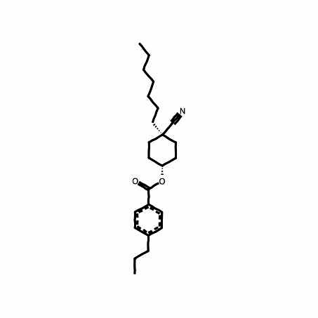 CCCCCCC[C@]1(C#N)CC[C@H](OC(=O)c2ccc(CCC)cc2)CC1